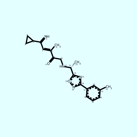 C/C(=C\C(=N)C1CC1)C(=O)CN[C@H](C)c1nc(-c2cccc(C)c2)no1